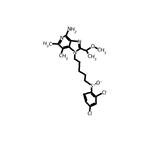 COC(C)c1nc2c(N)nc(C)c(C)c2n1CCCCC[S+]([O-])c1ccc(Cl)cc1Cl